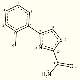 Cc1ccccc1-c1csc(C(N)=O)n1